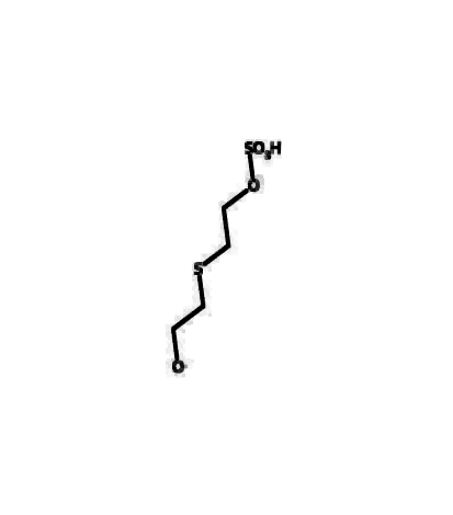 [O]CCSCCOS(=O)(=O)O